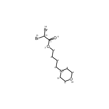 O=C(OCCCCN1CCOCC1)C(Br)Br